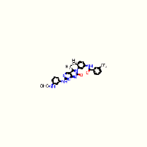 Cc1ccc(NC(=O)c2cccc(C(F)(F)F)c2)cc1-n1c(C)c2cnc(Nc3cccc(NC=O)c3)nc2nc1=O